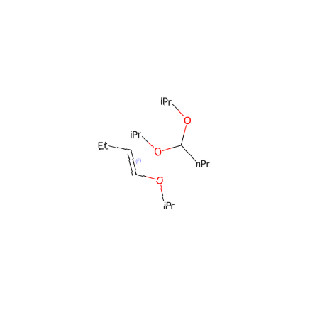 CC/C=C/OC(C)C.CCCC(OC(C)C)OC(C)C